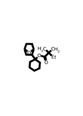 CCC(C)(C)C(=O)OC1(C2CC3CCC2O3)CCCCC1